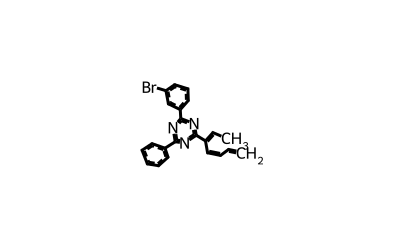 C=C/C=C\C(=C/C)c1nc(-c2ccccc2)nc(-c2cccc(Br)c2)n1